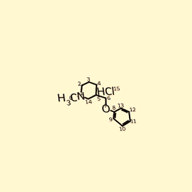 CN1CCCC(COc2ccccc2)C1.Cl